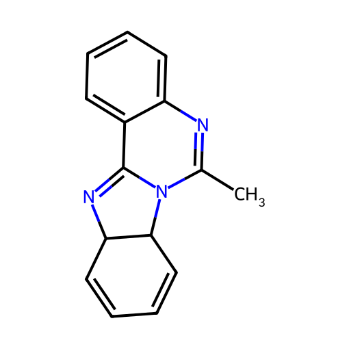 CC1=Nc2ccccc2C2=NC3C=CC=CC3N12